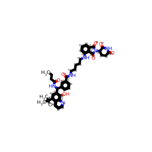 CCCC(=O)NC(c1cccc(C(=O)NCCCCCNc2cccc3c2C(=O)N(C2CCC(=O)NC2=O)C3=O)c1)c1cc(C(C)(C)C)c2cccnc2c1O